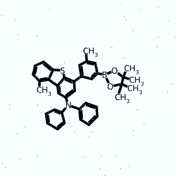 Cc1cc(B2OC(C)(C)C(C)(C)O2)cc(-c2cc(N(c3ccccc3)c3ccccc3)cc3c2sc2cccc(C)c23)c1